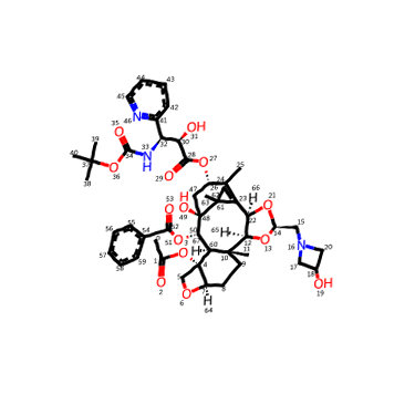 CC(=O)O[C@@]12CO[C@@H]1CC[C@@]1(C)[C@@H]3O[C@H](CN4CC(O)C4)O[C@@H]3C3=C(C)[C@@H](OC(=O)[C@H](O)[C@@H](NC(=O)OC(C)(C)C)c4ccccn4)C[C@@](O)([C@@H](OC(=O)c4ccccc4)[C@@H]12)C3(C)C